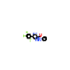 NC1CC(C(=O)Nc2ccccc2)=CCC1c1cc(F)c(F)cc1F